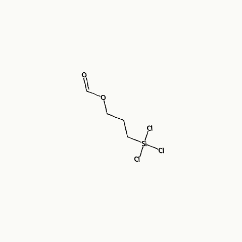 O=COCCC[Si](Cl)(Cl)Cl